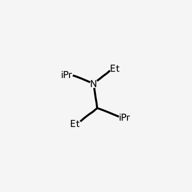 CCC(C(C)C)N(CC)C(C)C